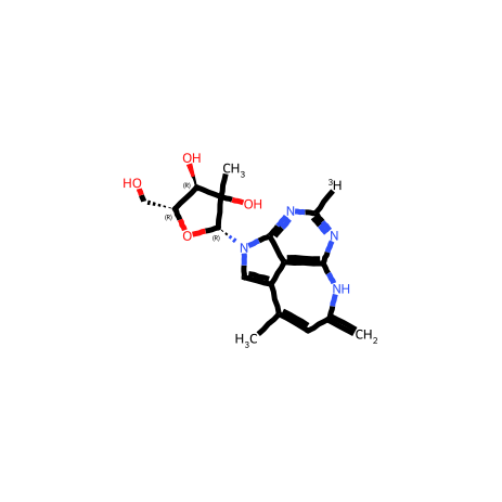 [3H]c1nc2[nH]c(=C)cc(C)c3cn([C@@H]4O[C@H](CO)[C@@H](O)C4(C)O)c(n1)c23